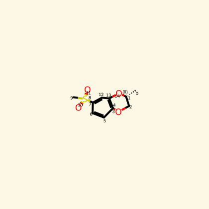 C[C@@H]1COc2ccc(S(C)(=O)=O)cc2O1